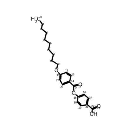 CCCCCCCCCCOc1ccc(C(=O)Oc2ccc(C(=O)O)cc2)cc1